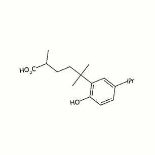 CC(CCC(C)(C)c1cc(C(C)C)ccc1O)C(=O)O